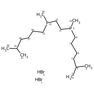 Br.Br.CC(C)CCCCP(C)CCP(C)CCCCC(C)C